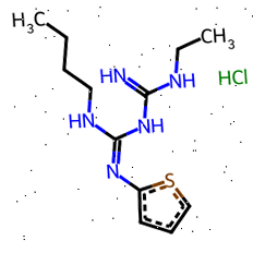 CCCCNC(=Nc1cccs1)NC(=N)NCC.Cl